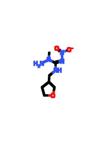 CN(N)/C(=N\[N+](=O)[O-])NCC1CCOC1